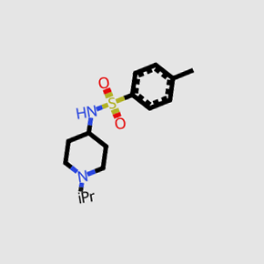 Cc1ccc(S(=O)(=O)NC2CCN(C(C)C)CC2)cc1